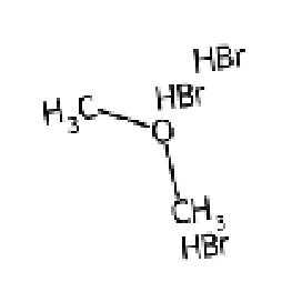 Br.Br.Br.COC